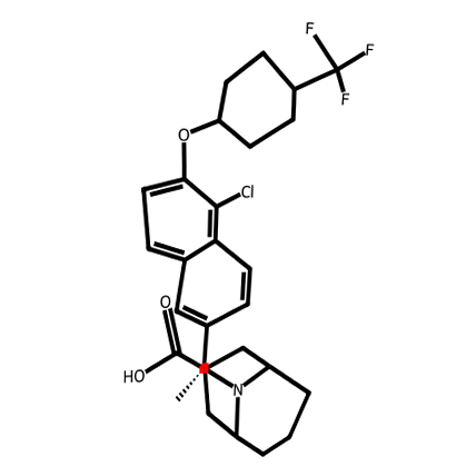 C[C@H](c1ccc2c(Cl)c(OC3CCC(C(F)(F)F)CC3)ccc2c1)N1C2CCCC1CC(C(=O)O)C2